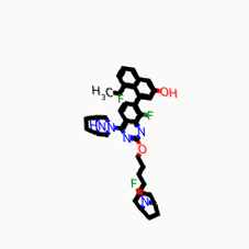 CCc1cccc2cc(O)cc(-c3c(F)cc4c(N5CC6CCC(C5)N6)nc(OCCCCCN5C6CCC5CC(F)C6)nc4c3F)c12